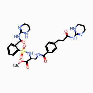 CC(C)(C)OC(=O)[C@H](CNC(=O)c1ccc(CCC(=O)NC2=NCCCN2)cc1)NS(=O)(=O)c1ccccc1C(=O)NC1=NCCCN1